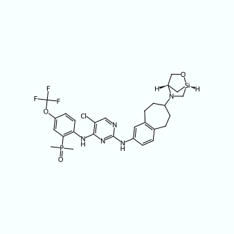 CP(C)(=O)c1cc(OC(F)(F)F)ccc1Nc1nc(Nc2ccc3c(c2)CCC(N2C[Si@@H]4C[C@H]2CO4)CC3)ncc1Cl